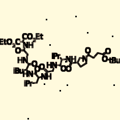 CCOC(=O)C(NC(=O)CNC(=O)C(NC(=O)C(CC(C)C)NC(=O)CNC(=O)C(NC(=O)C1CCN(C(=O)CCC(=O)OC(C)(C)C)C1)C(C)C)C(C)CC)C(=O)OCC